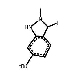 CN1Nc2cc(C(C)(C)C)ccc2C1I